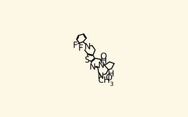 CN1Cc2nc3sc4c(c3c(=O)n2[C@@H]2CCC[C@@H]2C1=O)CCN(C1C=CC=CC1(F)F)C4